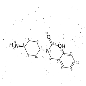 N[C@H]1CC[C@H](N(Cc2ccccc2)C(=O)O)CC1